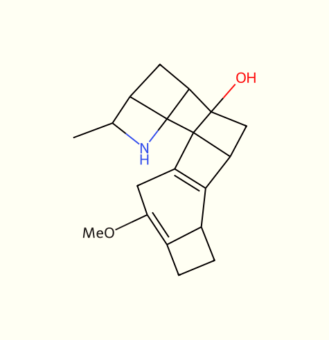 COC1=C2CCC2C2=C(C1)C13C2CC1(O)C1CC2C(C)NC213